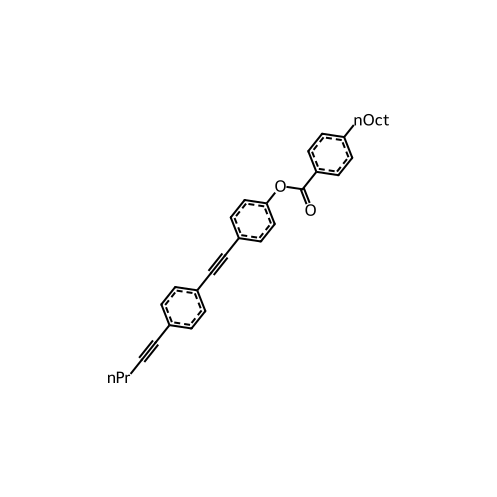 CCCC#Cc1ccc(C#Cc2ccc(OC(=O)c3ccc(CCCCCCCC)cc3)cc2)cc1